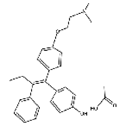 CC(=O)O.CCC(=C(c1ccc(O)cc1)c1ccc(OCCN(C)C)cc1)c1ccccc1